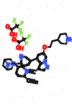 COc1ccc(CN2C3CC2CN(c2ccc(-c4cc(OCCC5CCNCC5)cn5ncc(C#N)c45)cn2)C3)cn1.O=C(O)C(F)(F)F.O=C(O)C(F)(F)F